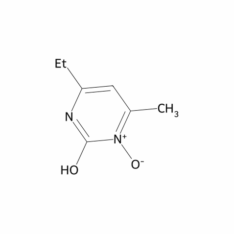 CCc1cc(C)[n+]([O-])c(O)n1